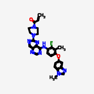 C=CC(=O)N1CCN(c2ncc3ncnc(Nc4ccc(Oc5ccc6c(c5)ncn6C)c(C)c4F)c3n2)CC1